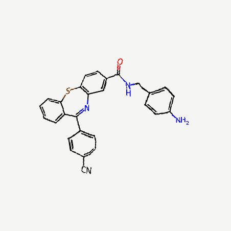 N#Cc1ccc(C2=Nc3cc(C(=O)NCc4ccc(N)cc4)ccc3Sc3ccccc32)cc1